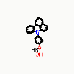 OBOc1ccc(N(c2ccccc2)c2cccc3ccccc23)cc1